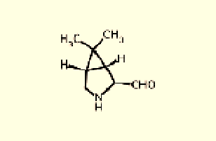 CC1(C)[C@@H]2[C@@H](C=O)NC[C@@H]21